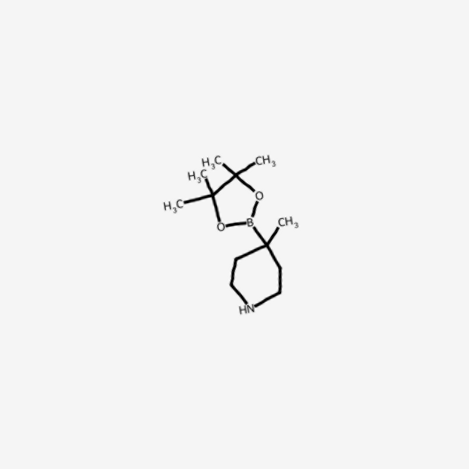 CC1(B2OC(C)(C)C(C)(C)O2)CCNCC1